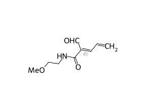 C=C/C=C(\C=O)C(=O)NCCOC